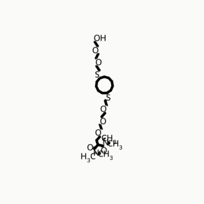 CN(C)C(=O)C(CCOCCOCCOCCSC1CCCCCC(SCCOCCOCCO)CCCC1)C(=O)N(C)C